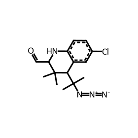 CC(C)(N=[N+]=[N-])C1c2cc(Cl)ccc2NC(C=O)C1(C)C